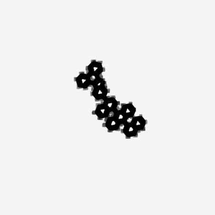 c1ccc2c(-c3c4ccccc4c(-c4ccc(-c5ccc6c(c5)sc5c7ccccc7c7ccccc7c65)c5ccccc45)c4ccccc34)cccc2c1